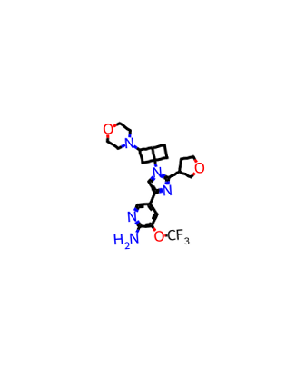 Nc1ncc(-c2cn(C34CCC3C(N3CCOCC3)C4)c(C3CCOC3)n2)cc1OC(F)(F)F